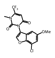 COc1cc(Cl)c2occ(-n3c(=O)cc(C(F)(F)F)n(C)c3=O)c2c1